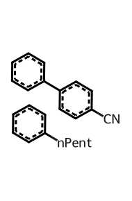 CCCCCc1ccccc1.N#Cc1ccc(-c2ccccc2)cc1